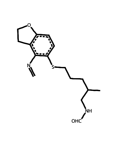 C=Nc1c(SCCCC(C)CNC=O)ccc2c1CCO2